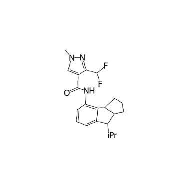 CC(C)C1c2cccc(NC(=O)c3cn(C)nc3C(F)F)c2C2CCCC21